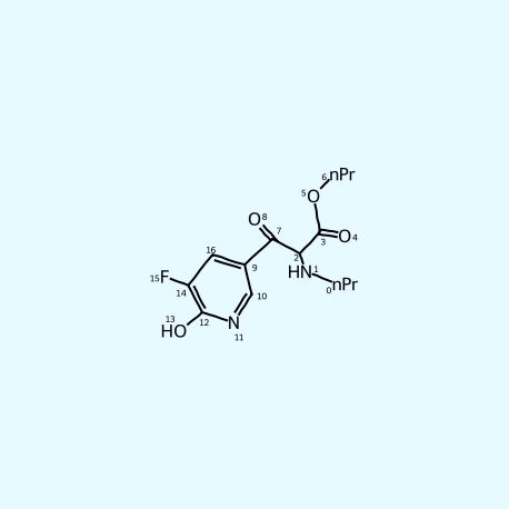 CCCNC(C(=O)OCCC)C(=O)c1cnc(O)c(F)c1